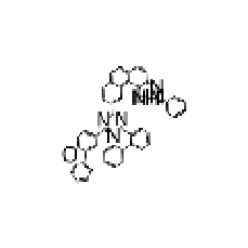 N=C1/C(=N\Nc2ccccc2)C=Cc2ccc3ccc(-c4nc(-c5ccc6oc7ccccc7c6c5)nc(-c5ccccc5-c5ccccc5)n4)cc3c21